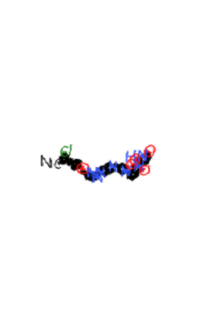 CC(C)(c1ccc(OCc2ccnc(N3CCC4(CCN(CC5CCN(c6cccc7c6C(=O)N(C6CCC(=O)NC6=O)C7=O)CC5)CC4)CC3)n2)cc1)c1cc(Cl)cc(C#N)c1